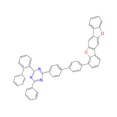 c1ccc(-c2nc(-c3ccc(-c4ccc(-c5cccc6c5oc5cc7c(cc56)oc5ccccc57)cc4)cc3)nc(-c3ccccc3-c3ccccc3)n2)cc1